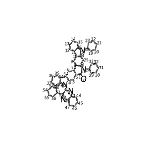 O=c1c2cc3c(cc2c2cc4c5ccccc5n(-c5ccccc5)c4cc2n1-c1ccccc1)c1ccccc1n3-c1nc2ccccc2nc1-c1ccccc1